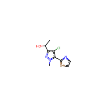 CC(O)c1nn(C)c(-c2nccs2)c1Cl